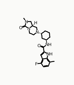 Cc1ccc(F)c2cc(C(=O)N[C@@H]3CCC[C@@H](N4CCN5C(=O)N(C)C[C@H]5C4)C3)[nH]c12